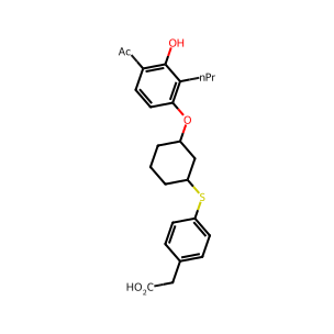 CCCc1c(OC2CCCC(Sc3ccc(CC(=O)O)cc3)C2)ccc(C(C)=O)c1O